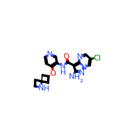 Nc1nn2cc(Cl)cnc2c1C(=O)Nc1cnccc1O[C@H]1C[C@@]2(CCN2)C1